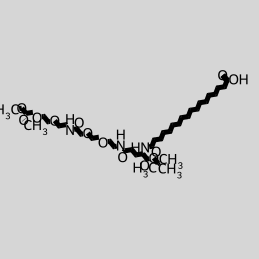 COC(COCCOCCNC(=O)COCCOCCNC(=O)CCC(NC(=O)CCCCCCCCCCCCCCCCC(=O)O)C(=O)OC(C)(C)C)OC